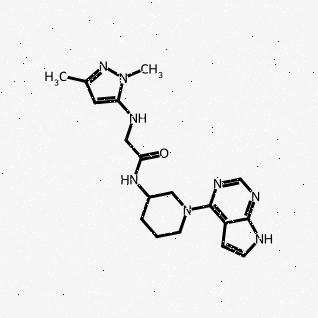 Cc1cc(NCC(=O)NC2CCCN(c3ncnc4[nH]ccc34)C2)n(C)n1